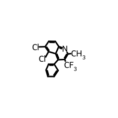 Cc1nc2ccc(Cl)c(Cl)c2c(-c2ccccc2)c1C(F)(F)F